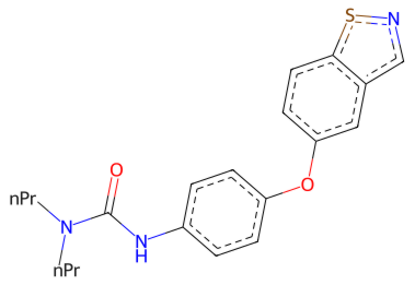 CCCN(CCC)C(=O)Nc1ccc(Oc2ccc3sncc3c2)cc1